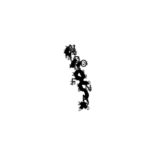 CC(C)(C)O/N=C/c1ccc(-c2ccc(N3C[C@H](Cn4ccnn4)OC3=O)cc2F)cn1